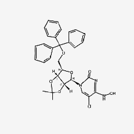 CC1(C)O[C@@H]2[C@H](O1)[C@@H](COC(c1ccccc1)(c1ccccc1)c1ccccc1)O[C@H]2n1cc(Cl)c(NO)nc1=O